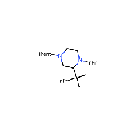 CCCC(C)N1CCN(CCC)C(C(C)(C)CCC)C1